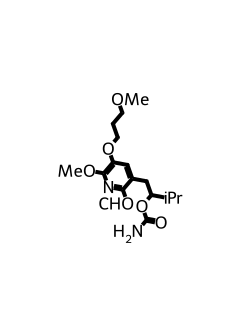 COCCCOc1cc(CC(OC(N)=O)C(C)C)c(C=O)nc1OC